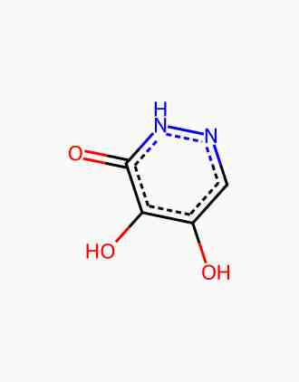 O=c1[nH]ncc(O)c1O